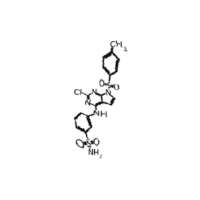 Cc1ccc(S(=O)(=O)n2ccc3c(Nc4cccc(S(N)(=O)=O)c4)nc(Cl)nc32)cc1